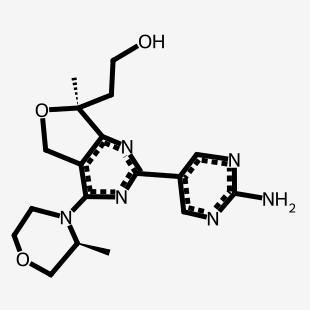 C[C@H]1COCCN1c1nc(-c2cnc(N)nc2)nc2c1CO[C@@]2(C)CCO